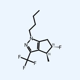 CCCCn1nc(C(F)(F)F)c2c1C[C@H](F)[C@H]2C